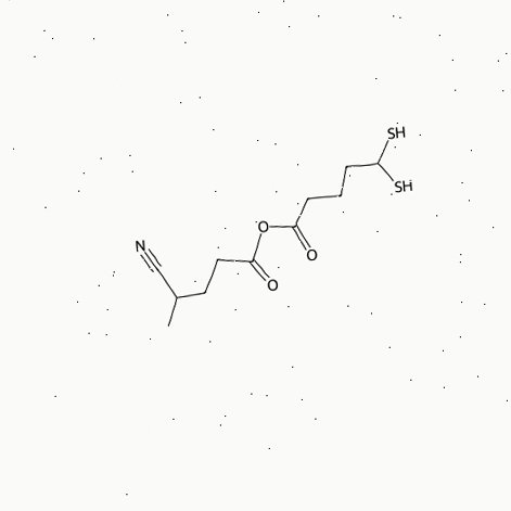 CC(C#N)CCC(=O)OC(=O)CCCC(S)S